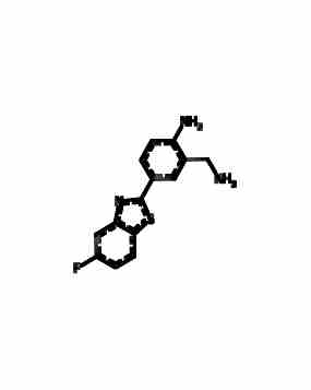 NCc1cc(-c2nc3cc(F)ccc3s2)ccc1N